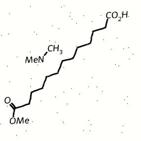 CNC.COC(=O)CCCCCCCCCCCC(=O)O